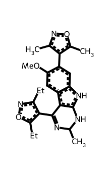 CCc1noc(CC)c1C1=NC(C)Nc2[nH]c3cc(-c4c(C)noc4C)c(OC)cc3c21